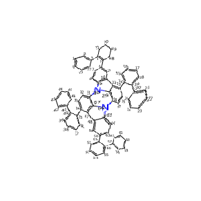 c1ccc(C2=C(c3ccc4c(c3)c3c(-c5ccccc5-c5ccccc5)ccc5c3n4c3ccc(-c4ccccc4-c4ccccc4)c4c6cc(-c7ccccc7-c7ccccc7)ccc6n5c43)CCCC2)cc1